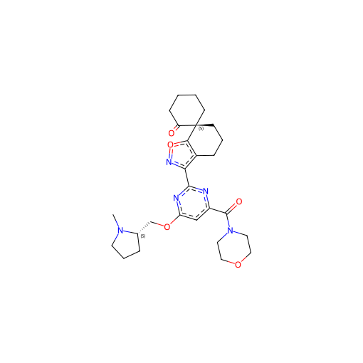 CN1CCC[C@H]1COc1cc(C(=O)N2CCOCC2)nc(-c2noc3c2CCC[C@@]32CCCCC2=O)n1